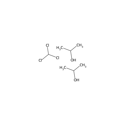 CC(C)O.CC(C)O.ClC(Cl)Cl